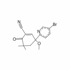 COC1(c2ccc(Br)cn2)C=C(C#N)C(=O)C(C)(C)C1